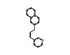 C(=C/c1cccnc1)/Cc1ccc2ccccc2c1